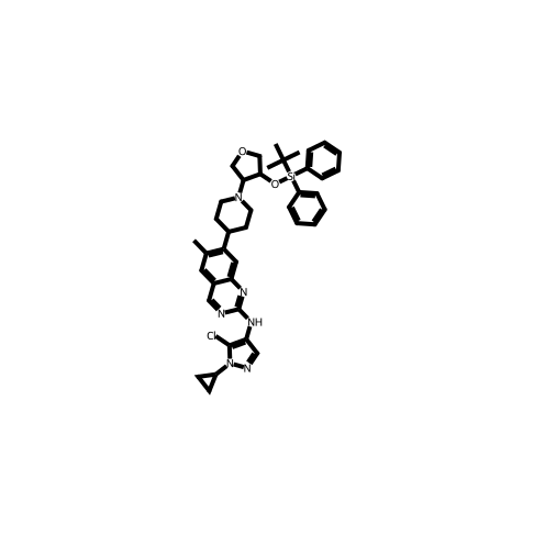 Cc1cc2cnc(Nc3cnn(C4CC4)c3Cl)nc2cc1C1CCN(C2COCC2O[Si](c2ccccc2)(c2ccccc2)C(C)(C)C)CC1